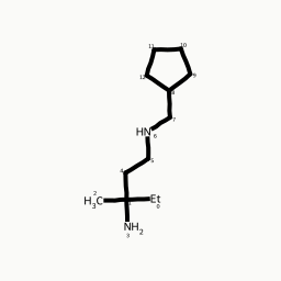 CCC(C)(N)CCNCC1CCCC1